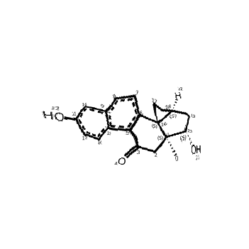 C[C@]12CC(=O)c3c(ccc4cc(O)ccc34)[C@@]13C[C@H]3C[C@@H]2O